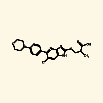 CC(CSc1nc2nc(-c3ccc(N4CCOCC4)cc3)c(Cl)cc2[nH]1)C(=O)O